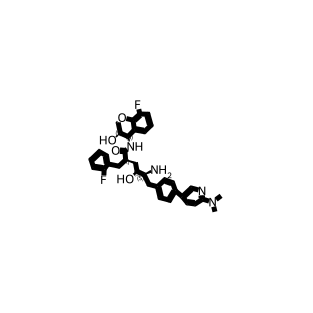 CN(C)c1ccc(-c2ccc(C[C@H](N)[C@@H](O)C[C@@H](Cc3ccccc3F)C(=O)N[C@H]3c4cccc(F)c4OC[C@H]3O)cc2)cn1